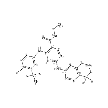 CC(C)(O)c1nc(Nc2nc(Nc3ccc4c(c3)CNCC4(C)C)ncc2C(=O)NCC(F)(F)F)ccc1F